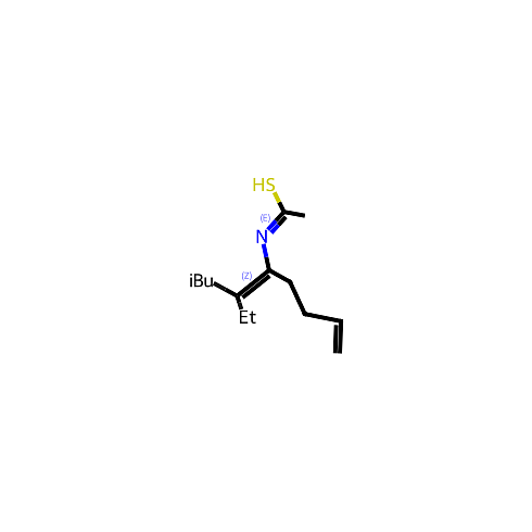 C=CCCC(/N=C(\C)S)=C(\CC)C(C)CC